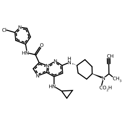 C#CC(C)N(C(=O)O)[C@H]1CC[C@H](Nc2cc(NC3CC3)c3ncc(C(=O)Nc4ccnc(Cl)c4)n3n2)CC1